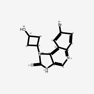 O=c1[nH]c2cnc3ccc(Br)cc3c2n1C1CC(O)C1